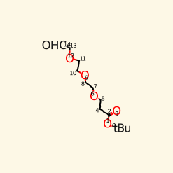 CC(C)(C)OC(=O)CCOCCOCCOCC=O